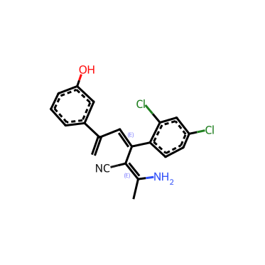 C=C(/C=C(\C(C#N)=C(\C)N)c1ccc(Cl)cc1Cl)c1cccc(O)c1